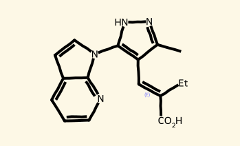 CC/C(=C\c1c(C)n[nH]c1-n1ccc2cccnc21)C(=O)O